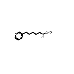 O=[C]NCCCCCc1cccnc1